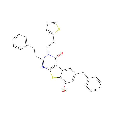 O=c1c2c(nc(CCc3ccccc3)n1CCc1cccs1)sc1c(O)cc(Cc3ccccc3)cc12